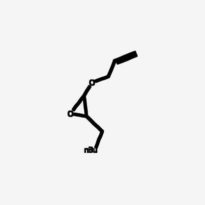 C=CCOC1OC1CCCCC